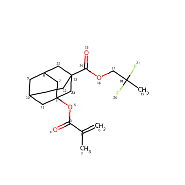 C=C(C)C(=O)OC12CC3CC(C1)CC(C(=O)OCC(C)(F)F)(C3)C2